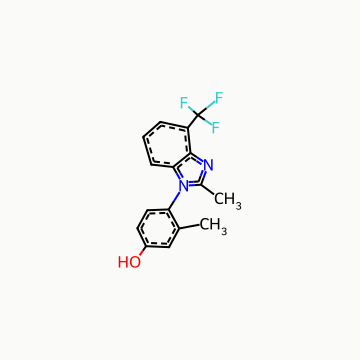 Cc1cc(O)ccc1-n1c(C)nc2c(C(F)(F)F)cccc21